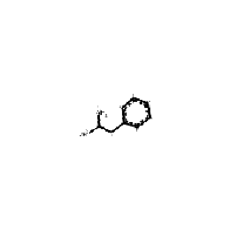 CCC[CH]([AlH2])Cc1ccccc1